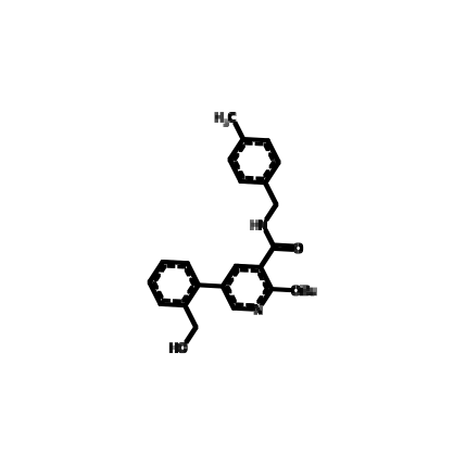 Cc1ccc(CNC(=O)c2cc(-c3ccccc3CO)cnc2OCC(C)C)cc1